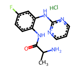 CC(N)C(=O)Nc1ccc(F)cc1Nc1ncccn1.Cl